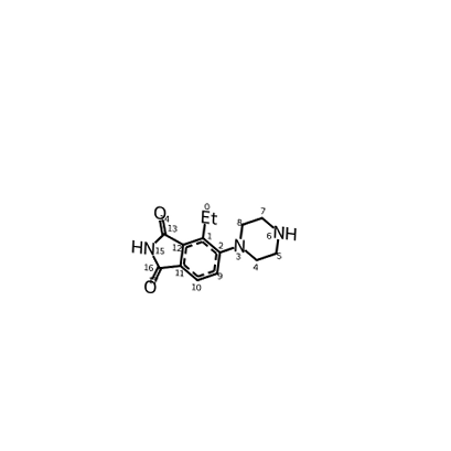 CCc1c(N2CCNCC2)ccc2c1C(=O)NC2=O